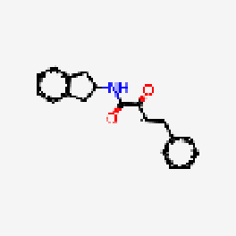 O=C([CH]Cc1ccccc1)C(=O)NC1Cc2ccccc2C1